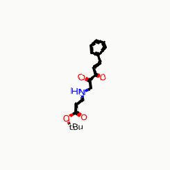 CC(C)(C)OC(=O)CCNCC(=O)C(=O)/C=C/c1ccccc1